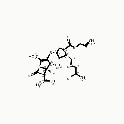 C=CCOC(=O)N1C[C@@H](SC2=C(C(=O)O)N3C(=O)[C@H]([C@@H](C)O)[C@H]3[C@H]2C)C[C@H]1COCC(C)F